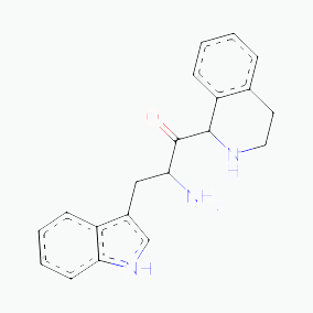 NC(Cc1c[nH]c2ccccc12)C(=O)C1NCCc2ccccc21